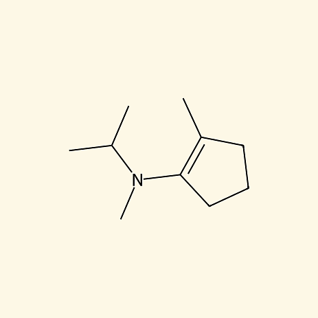 CC1=C(N(C)C(C)C)CCC1